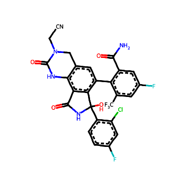 N#CCN1Cc2cc(-c3c(C(N)=O)cc(F)cc3C(F)(F)F)c3c(c2NC1=O)C(=O)NC3(O)c1ccc(F)cc1Cl